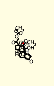 COC(=O)OCC(=O)[C@@]1(OC(=O)OC)CC[C@H]2[C@@H]3CCC4=CC(=O)C=C[C@]4(C)[C@H]3C(O)C[C@@]21C